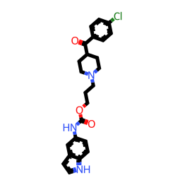 O=C(Nc1ccc2[nH]ccc2c1)OCCCN1CCC(C(=O)c2ccc(Cl)cc2)CC1